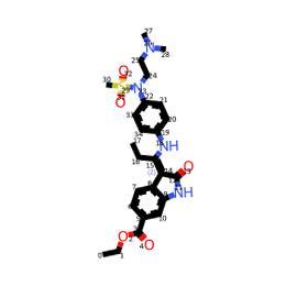 CCOC(=O)c1ccc2c(c1)NC(=O)/C2=C(/CC)Nc1ccc(N(CCN(C)C)S(C)(=O)=O)cc1